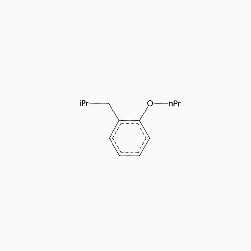 CCCOc1ccccc1CC(C)C